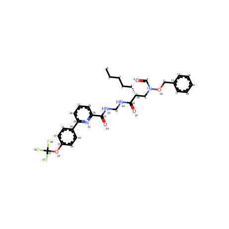 CCCCC[C@H](CN(C=O)OCc1ccccc1)C(=O)NCNC(=O)c1cccc(-c2ccc(OC(F)(F)F)cc2)n1